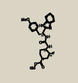 COc1ccc(C[C@@H](NC(=O)N[C@@H]2CCN(C(=O)OC(C)(C)C)C[C@@H]2F)c2nc3ccccc3[nH]2)cc1